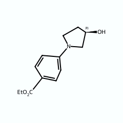 CCOC(=O)c1ccc(N2CC[C@@H](O)C2)cc1